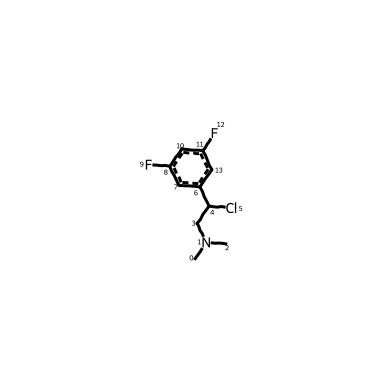 CN(C)CC(Cl)c1cc(F)cc(F)c1